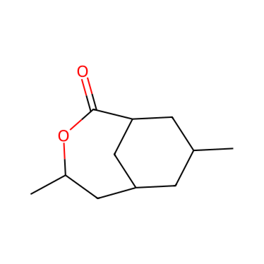 CC1CC2CC(C)OC(=O)C(C1)C2